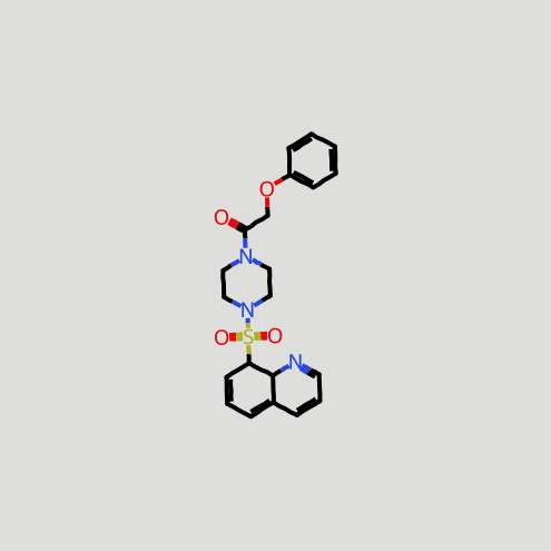 O=C(COc1ccccc1)N1CCN(S(=O)(=O)C2C=CC=C3C=CC=NC32)CC1